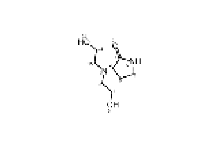 O=C1CCCN1.OCCNCCO